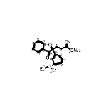 CCOCC.COC(=O)CCC(O)(C(=O)c1ccccc1)c1ccccc1